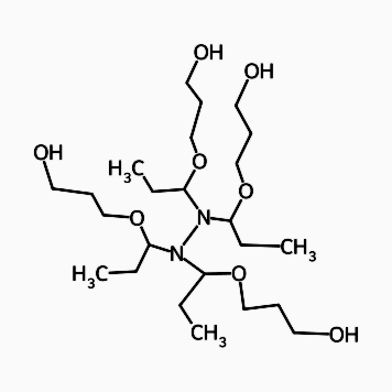 CCC(OCCCO)N(C(CC)OCCCO)N(C(CC)OCCCO)C(CC)OCCCO